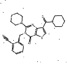 N#Cc1ccccc1Cn1c(N2CCCCC2)nc2c(C(=O)N3CCCCC3)csc2c1=O